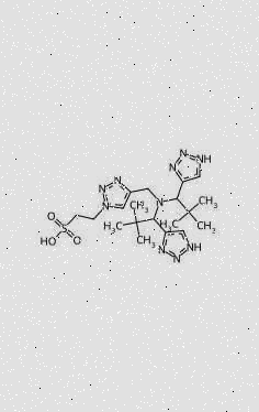 CC(C)(C)C(c1c[nH]nn1)N(Cc1cn(CCS(=O)(=O)O)nn1)C(c1c[nH]nn1)C(C)(C)C